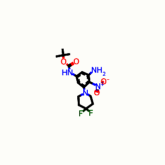 CC(C)(C)OC(=O)Nc1cc(N)c([N+](=O)[O-])c(N2CCC(F)(F)CC2)c1